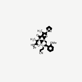 COc1ccccc1[C@H](Cn1c(=O)n([C@H](C)C(=O)NC(C)C)c(=O)c2c(C)c(-n3cccn3)sc21)OCCC#N